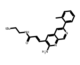 Cc1ccccc1-c1cc2cc(C=CC(=O)NCCC(C)(C)C)c(N)nc2cn1